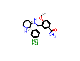 CC(C)Oc1ccc(C(N)=O)cc1CN[C@H]1CCCN[C@H]1c1ccccc1.Cl.Cl